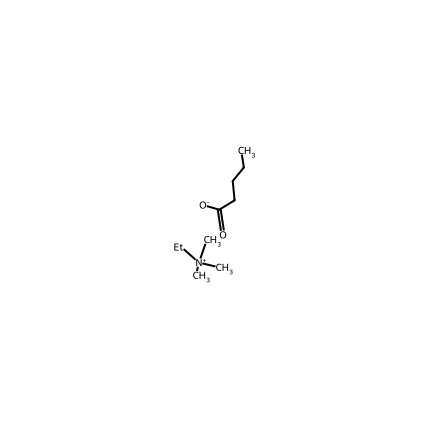 CCCCC(=O)[O-].CC[N+](C)(C)C